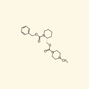 CN1CCN(C(=O)OC[C@H]2CCCCN2C(=O)OCc2ccccc2)CC1